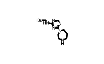 CCC(C)CNc1ncnc(N2CCCNCC2)n1